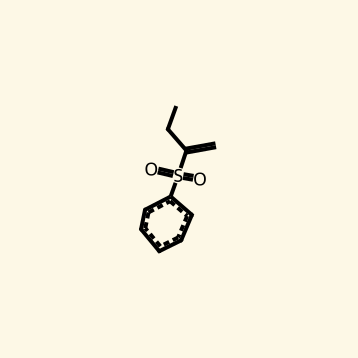 C=C(CC)S(=O)(=O)c1ccccc1